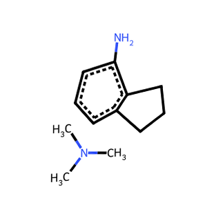 CN(C)C.Nc1cccc2c1CCC2